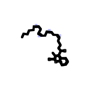 CCCCC/C=C\C/C=C\C/C=C\C/C=C\CCCC(=O)c1c(C)c(=O)oc2ccccc12